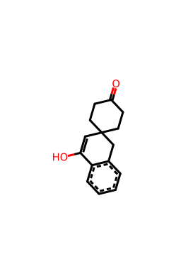 O=C1CCC2(C=C(O)c3ccccc3C2)CC1